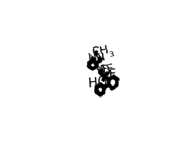 Cc1ncc2c(N=CC(O)(C3CCCCC3c3ccccc3)C(F)(F)F)cccc2n1